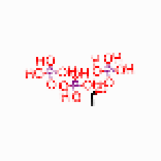 CC=O.O=P(O)(O)O.O=P(O)(O)O.O=P(O)(O)O